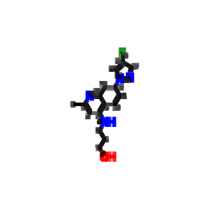 Cc1cc(NCCCO)c2ccc(-n3cc(F)cn3)cc2n1